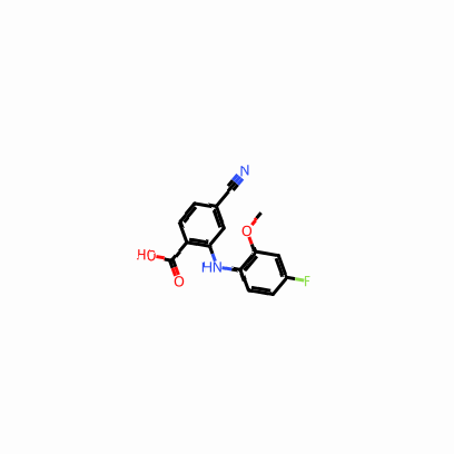 COc1cc(F)ccc1Nc1cc(C#N)ccc1C(=O)O